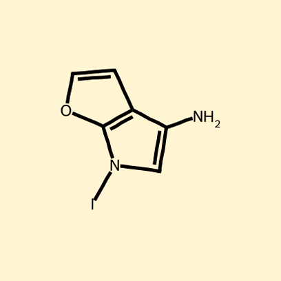 Nc1cn(I)c2occc12